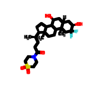 C[C@H](CCC(=O)N1CCS(=O)(=O)CC1)[C@H]1CCC2C3C(CC[C@@]21C)[C@@]1(C)CC(F)(F)[C@H](O)C[C@H]1C[C@@H]3O